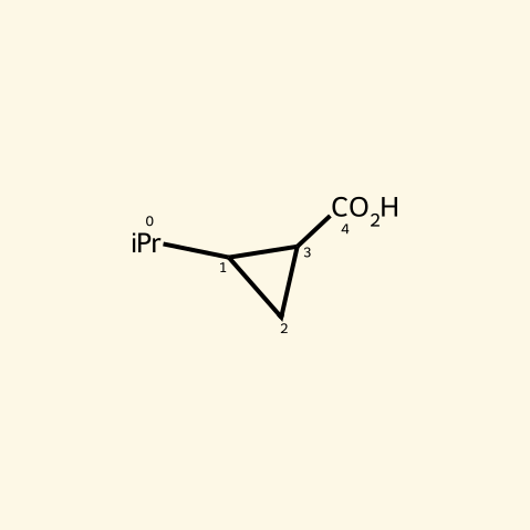 CC(C)C1CC1C(=O)O